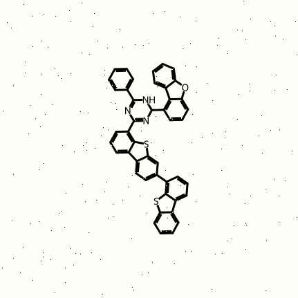 c1ccc(C2=NC(c3cccc4c3sc3cc(-c5cccc6c5sc5ccccc56)ccc34)=NC(c3cccc4oc5ccccc5c34)N2)cc1